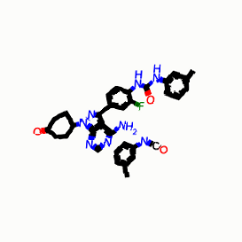 Cc1cccc(N=C=O)c1.Cc1cccc(NC(=O)Nc2ccc(-c3nn(C4CCC(=O)CC4)c4ncnc(N)c34)cc2F)c1